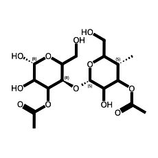 CC(=O)OC1C(O)[C@H](O[C@@H]2C(CO)O[C@@H](O)C(O)C2OC(C)=O)OC(CO)[C@@H]1C